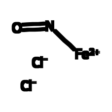 O=[N][Fe+2].[Cl-].[Cl-]